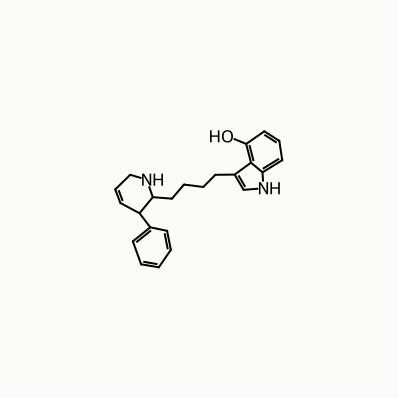 Oc1cccc2[nH]cc(CCCCC3NCC=CC3c3ccccc3)c12